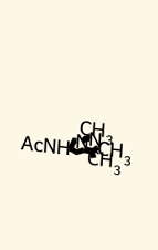 CC(=O)NC1CC2=C(C)C(C)N=C(C)N2C1